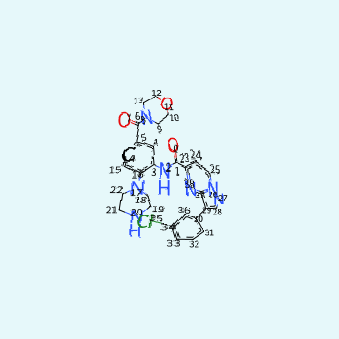 O=C(Nc1cc(C(=O)N2CCOCC2)ccc1N1CCNCC1)c1ccn2ncc(-c3cccc(Cl)c3)c2n1